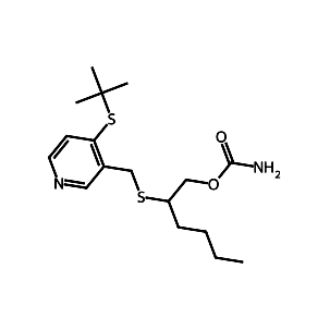 CCCCC(COC(N)=O)SCc1cnccc1SC(C)(C)C